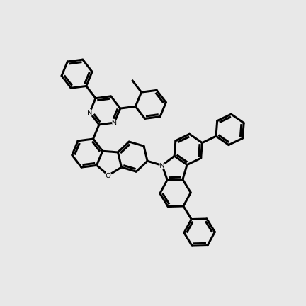 CC1C=CC=CC1c1cc(-c2ccccc2)nc(-c2cccc3oc4c(c23)=CCC(n2c3c(c5cc(-c6ccccc6)ccc52)CC(c2ccccc2)C=C3)C=4)n1